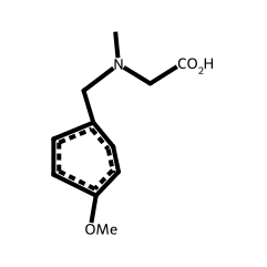 COc1ccc(CN(C)CC(=O)O)cc1